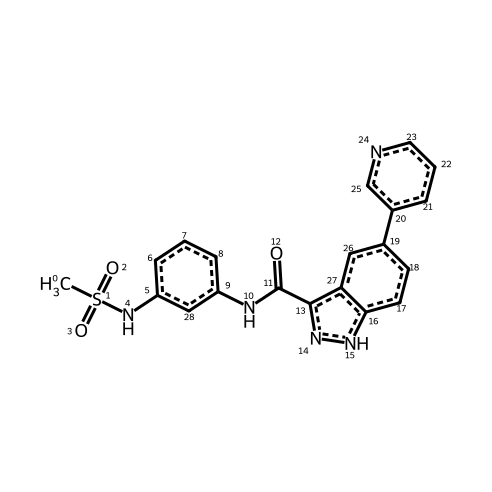 CS(=O)(=O)Nc1cccc(NC(=O)c2n[nH]c3ccc(-c4cccnc4)cc23)c1